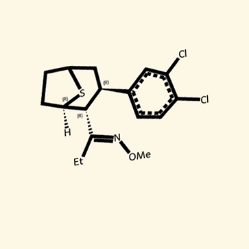 CCC(=NOC)[C@@H]1[C@H]2CCC(C[C@H]1c1ccc(Cl)c(Cl)c1)S2